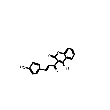 O=C(C=Cc1ccc(O)cc1)c1c(O)c2ccccc2oc1=O